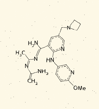 C=C(N)/N=C(C)\N=C(/N)c1cc(CN2CCC2)cnc1Nc1ccc(OC)nc1